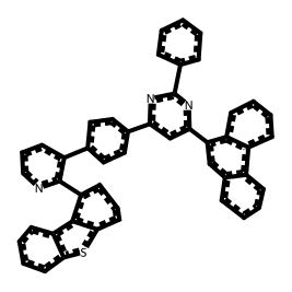 c1ccc(-c2nc(-c3ccc(-c4cccnc4-c4cccc5sc6ccccc6c45)cc3)cc(-c3cc4ccccc4c4ccccc34)n2)cc1